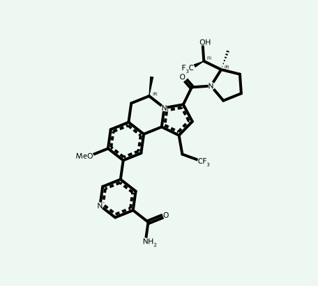 COc1cc2c(cc1-c1cncc(C(N)=O)c1)-c1c(CC(F)(F)F)cc(C(=O)N3CCC[C@]3(C)[C@H](O)C(F)(F)F)n1[C@H](C)C2